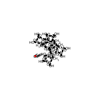 C[C@@H](C(=O)NCC(=O)NCC(CNC(=O)CNC(=O)[C@H](C)N1CCN(CC(=O)O)CCN(CC(=O)O)CCN(CC(=O)O)CC1)(CNC(=O)CNC(=O)[C@H](C)N1CCN(CC(=O)O)CCN(CC(=O)O)CCN(CC(=O)O)CC1)CNC(=O)CNC(=O)[C@H](C)N1CCN(CC(=O)O)CCN(CC(=O)O)CCN(CC(=O)O)CC1)N1CCN(CC(=O)O)CCN(CC(=O)O)CCN(CC(=O)O)CC1.[Gd+3].[Gd+3].[Gd+3].[Gd+3]